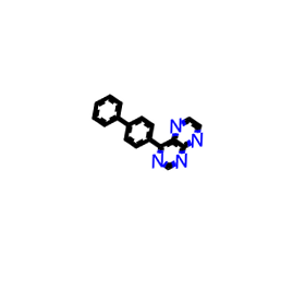 c1ccc(-c2ccc(-c3ncnc4nccnc34)cc2)cc1